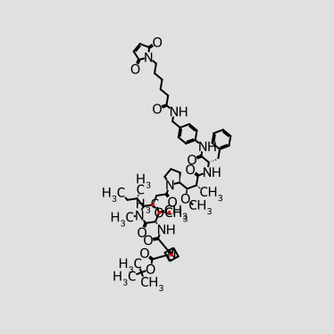 CC[C@H](C)[C@@H]([C@@H](CC(=O)N1CCC[C@H]1[C@H](OC)[C@@H](C)C(=O)N[C@@H](Cc1ccccc1)C(=O)Nc1ccc(CNC(=O)CCCCCN2C(=O)C=CC2=O)cc1)OC)N(C)C(=O)[C@@H](NC(=O)C1C2CC(C2)N1C(=O)OC(C)(C)C)C(C)C